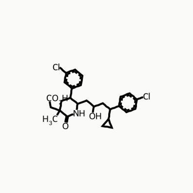 CC1(CC(=O)O)CC(c2cccc(Cl)c2)C(CC(O)CC(c2ccc(Cl)cc2)C2CC2)NC1=O